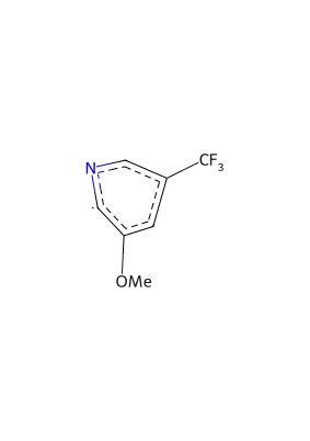 COc1[c]ncc(C(F)(F)F)c1